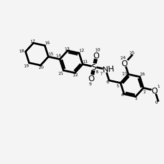 COc1ccc(CNS(=O)(=O)c2ccc(C3CCCCC3)cc2)c(OC)c1